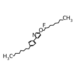 CCCCCCCCc1ccc(-c2ccc(OCC(F)CCCCCCCC)cn2)cc1